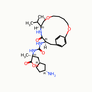 CC(C)[C@H]1COCCCCOc2ccc(cc2)C[C@@H](NC(=O)N[C@@](C)(C[C@@H]2CC[C@@H](N)C2)C(=O)O)C(=O)N1